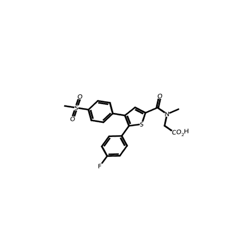 CN(CC(=O)O)C(=O)c1cc(-c2ccc(S(C)(=O)=O)cc2)c(-c2ccc(F)cc2)s1